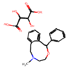 CN1CCOC(c2ccccc2)c2ccccc2C1.O=C(O)C(O)C(O)C(=O)O